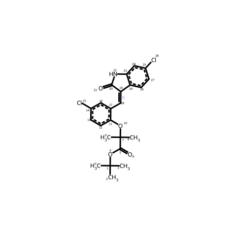 CC(C)(C)OC(=O)C(C)(C)Oc1ccc(Cl)cc1/C=C1\C(=O)Nc2cc(Cl)ccc21